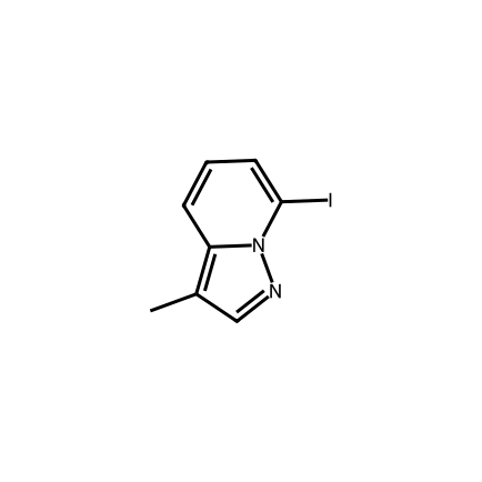 Cc1cnn2c(I)cccc12